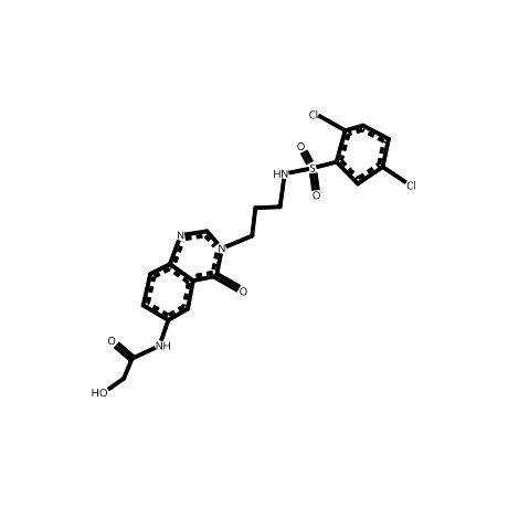 O=C(CO)Nc1ccc2ncn(CCCNS(=O)(=O)c3cc(Cl)ccc3Cl)c(=O)c2c1